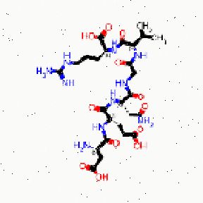 CC(C)[C@H](NC(=O)CNC(=O)[C@H](CC(N)=O)NC(=O)[C@H](CCC(=O)O)NC(=O)[C@@H](N)CC(=O)O)C(=O)N[C@@H](CCCNC(=N)N)C(=O)O